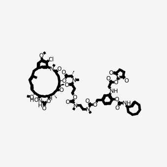 COc1cc2cc(c1Cl)N(C)C(=O)C[C@H](OC(=O)[C@H](C)N(C)C(=O)CCOC(=O)N(C)CCN(C)C(=O)OCc1ccc(OC(=O)NC3/C=C/CCCCC3)c(NCC(=O)ON3C(=O)CCC3=O)c1)[C@]1(C)OC1[C@H](C)[C@@H]1C[C@@](O)(NC(=O)O1)[C@H](OC)/C=C/C=C(\C)C2